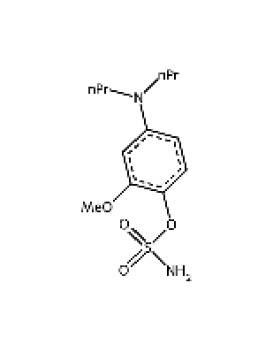 CCCN(CCC)c1ccc(OS(N)(=O)=O)c(OC)c1